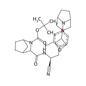 CC(C)(C)OC(=O)N1C2CCC(C2)C1C(=O)N[C@H](C#N)Cc1ccc(N2C3CCC2CN(C2COC2)C3)cc1F